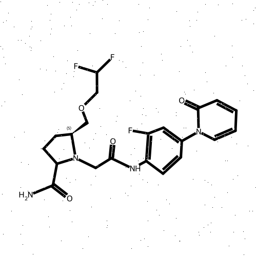 NC(=O)C1[CH]C[C@@H](COCC(F)F)N1CC(=O)Nc1ccc(-n2ccccc2=O)cc1F